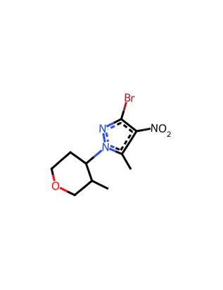 Cc1c([N+](=O)[O-])c(Br)nn1C1CCOCC1C